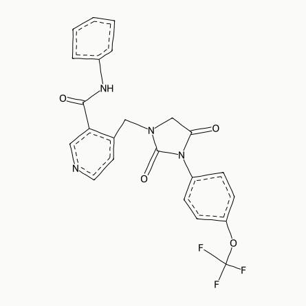 O=C(Nc1ccccc1)c1cnccc1CN1CC(=O)N(c2ccc(OC(F)(F)F)cc2)C1=O